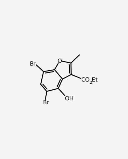 CCOC(=O)c1c(C)oc2c(Br)cc(Br)c(O)c12